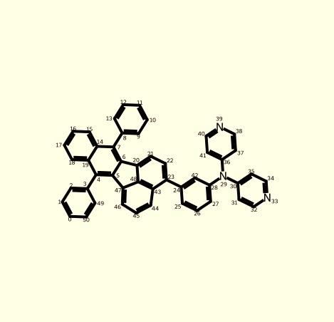 c1ccc(-c2c3c(c(-c4ccccc4)c4ccccc24)-c2ccc(-c4cccc(N(c5ccncc5)c5ccncc5)c4)c4cccc-3c24)cc1